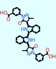 CC1=NN(c2cccc(C(=O)O)c2)C(=O)C1=c1[nH]c(=c2[nH]c(=C3C(=O)N(c4cccc(C(=O)O)c4)N=C3C)c3ccccc23)c2ccccc12